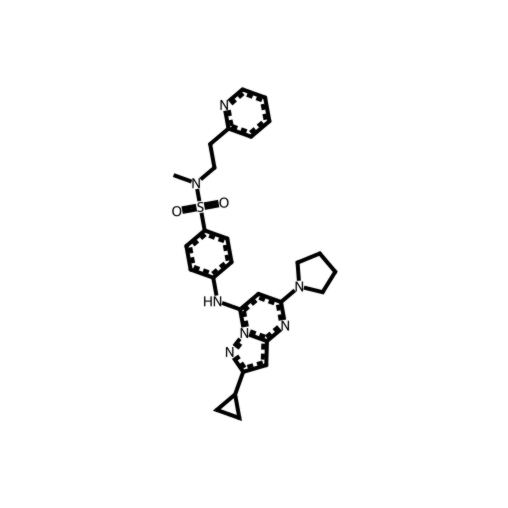 CN(CCc1ccccn1)S(=O)(=O)c1ccc(Nc2cc(N3CCCC3)nc3cc(C4CC4)nn23)cc1